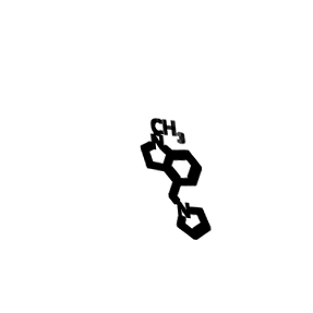 CN1CCc2c(CN3CC=CC3)cccc21